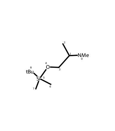 CNC(C)CO[Si](C)(C)C(C)(C)C